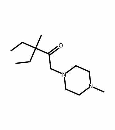 CCC(C)(CC)C(=O)CN1CCN(C)CC1